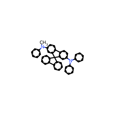 CN(c1ccccc1)c1ccc2c(c1)C1(c3ccccc3-c3ccccc31)c1cc(N(c3ccccc3)c3ccccc3)ccc1-2